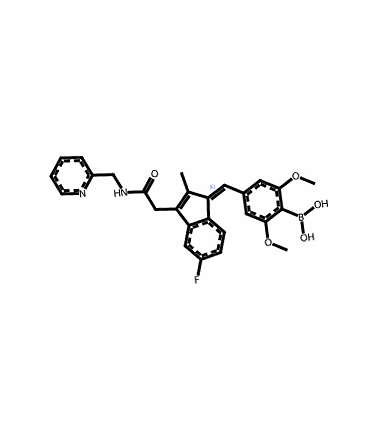 COc1cc(/C=C2/C(C)=C(CC(=O)NCc3ccccn3)c3cc(F)ccc32)cc(OC)c1B(O)O